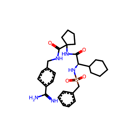 N=C(N)c1ccc(CNC(=O)C2(NC(=O)[C@H](NS(=O)(=O)Cc3ccccc3)C3CCCCC3)CCCC2)cc1